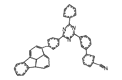 N#Cc1cccc(-c2cccc(-c3nc(-c4ccccc4)nc(-c4ccc(C5=CC=C6c7ccccc7C7C=CC=C5C67)cc4)n3)c2)c1